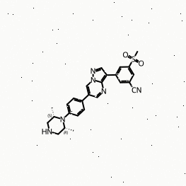 C[C@@H]1CNC[C@H](C)N1c1ccc(-c2cnc3c(-c4cc(C#N)cc(S(C)(=O)=O)c4)cnn3c2)cc1